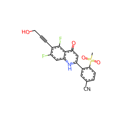 CS(=O)(=O)c1ccc(C#N)cc1-c1cc(=O)c2c(F)c(C#CCO)c(F)cc2[nH]1